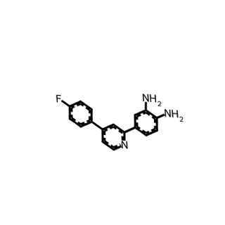 Nc1ccc(-c2cc(-c3ccc(F)cc3)ccn2)cc1N